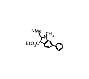 CCOC(=O)C1c2ccc(-c3ccccc3)cc2N(C)C1CNC